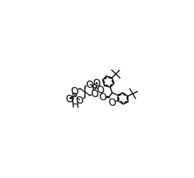 CC(C)(C)c1ccc2c(c1)C(c1cc(C(C)(C)C)ccc1OP1(=O)OCC3(CO[PH](=O)OC3)CO1)C(=O)O2